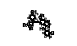 CCOCC(C#Cc1cc2c(Nc3ccc(F)c(Cl)c3)ncnc2cc1OCC)(COCC)N1CCN(C)CC1